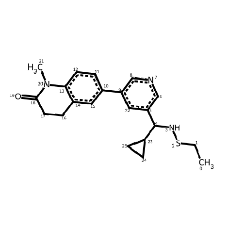 CCSNC(c1cncc(-c2ccc3c(c2)CCC(=O)N3C)c1)C1CC1